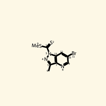 CSC(=S)n1nc(C)c2ncc(Br)cc21